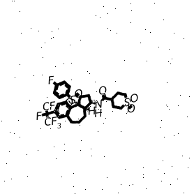 O=C(N[C@@H]1CC[C@@]2(S(=O)(=O)c3ccc(F)cc3)c3ccc(C(F)(C(F)(F)F)C(F)(F)F)cc3CCC[C@@H]12)C1CCS(=O)(=O)CC1